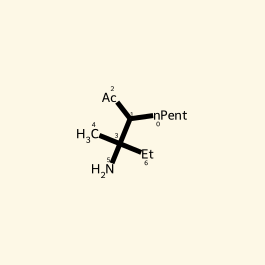 CCCCCC(C(C)=O)C(C)(N)CC